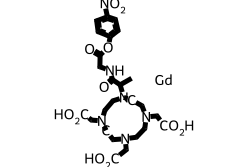 CC(C(=O)NCC(=O)Oc1ccc([N+](=O)[O-])cc1)N1CCN(CC(=O)O)CCN(CC(=O)O)CCN(CC(=O)O)CC1.[Gd]